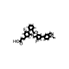 Cn1ncc2cc(-c3ccc(CN(C(=O)c4ccccc4)c4cc(F)cc(/C=C/C(=O)O)c4)c(F)c3)ccc21